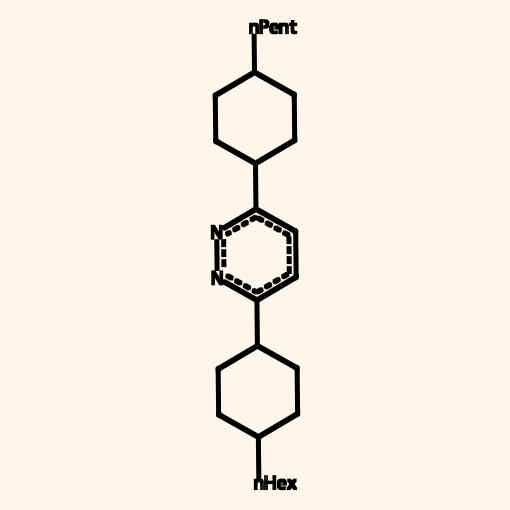 CCCCCCC1CCC(c2ccc(C3CCC(CCCCC)CC3)nn2)CC1